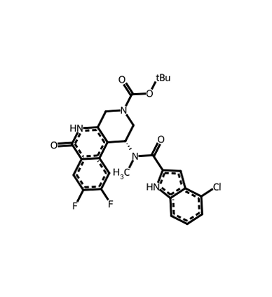 CN(C(=O)c1cc2c(Cl)cccc2[nH]1)[C@H]1CN(C(=O)OC(C)(C)C)Cc2[nH]c(=O)c3cc(F)c(F)cc3c21